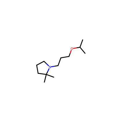 CC(C)OCCCN1CCCC1(C)C